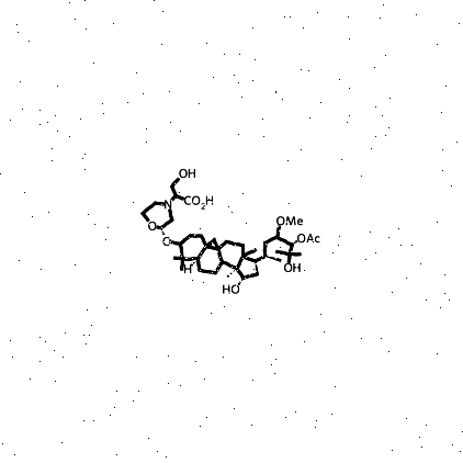 COC(C[C@@H](C)[C@H]1C[C@H](O)[C@@]2(C)C3CC[C@H]4C(C)(C)C(O[C@H]5CN(C(CO)C(=O)O)CCO5)CCC45CC35CCC12C)[C@H](OC(C)=O)C(C)(C)O